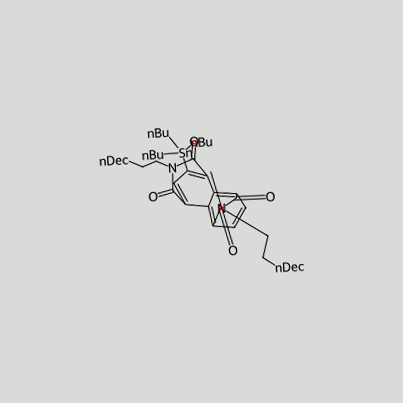 CCCCCCCCCCCCn1c(=O)c2ccc(c1=O)c1c3[c]([Sn]([CH2]CCC)([CH2]CCC)[CH2]CCC)cc(c(=O)n(CCCCCCCCCCCC)c3=O)c21